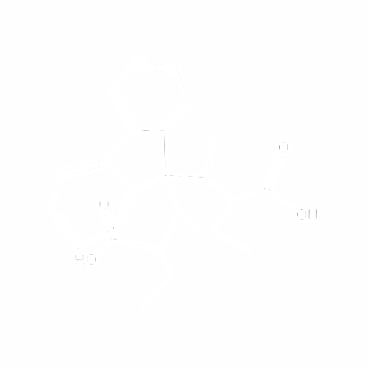 CCC(C(=O)O)C(C)C1(C(C)C(CC)C(=O)O)c2ccccc2-c2ccccc21